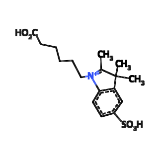 CC1=[N+](CCCCCC(=O)O)c2ccc(S(=O)(=O)O)cc2C1(C)C